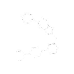 COC(C=O)N1CCC(c2ccnc(Nc3nc4ccc(-c5ccncc5)nc4s3)c2)CC1